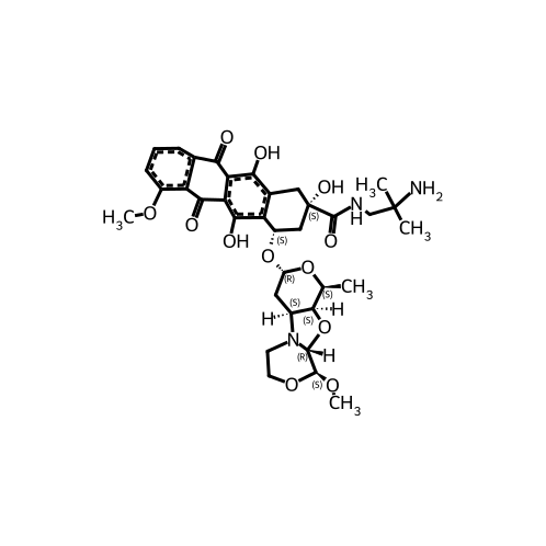 COc1cccc2c1C(=O)c1c(O)c3c(c(O)c1C2=O)C[C@@](O)(C(=O)NCC(C)(C)N)C[C@@H]3O[C@H]1C[C@H]2[C@H](O[C@@H]3[C@@H](OC)OCCN32)[C@H](C)O1